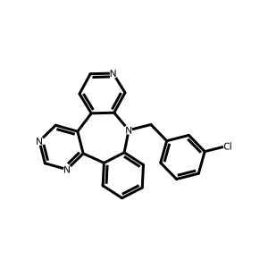 Clc1cccc(CN2c3cnccc3-c3cncnc3-c3ccccc32)c1